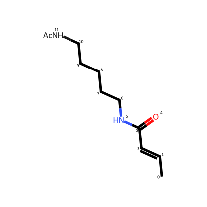 CC=CC(=O)NCCCCCNC(C)=O